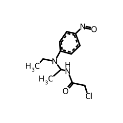 CCN(c1ccc(N=O)cc1)C(C)NC(=O)CCl